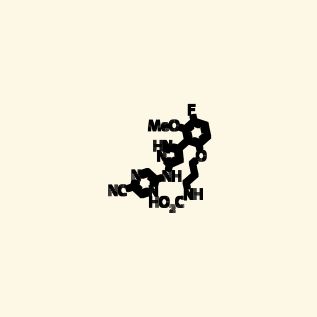 COc1c(F)ccc(OCCCNC(=O)O)c1-c1cc(Nc2cnc(C#N)cn2)n[nH]1